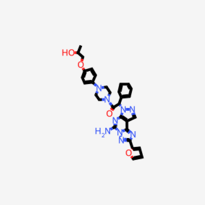 CC(O)COc1ccc(N2CCN(C(=O)C(c3ccccc3)n3ncc4c3nc(N)n3nc(-c5ccco5)nc43)CC2)cc1